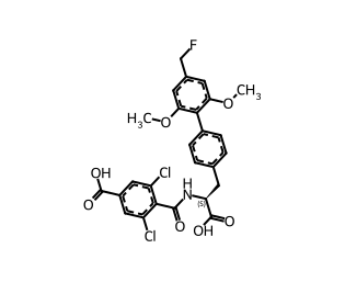 COc1cc(CF)cc(OC)c1-c1ccc(C[C@H](NC(=O)c2c(Cl)cc(C(=O)O)cc2Cl)C(=O)O)cc1